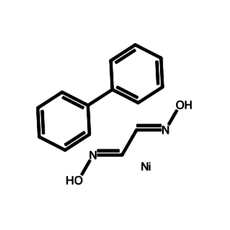 ON=CC=NO.[Ni].c1ccc(-c2ccccc2)cc1